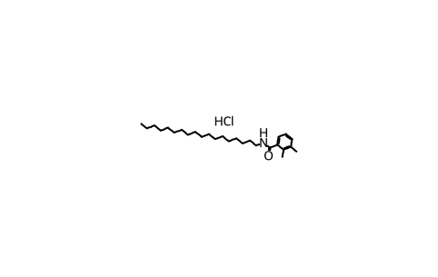 CCCCCCCCCCCCCCCCCCNC(=O)c1cccc(C)c1C.Cl